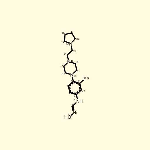 O/N=C/Nc1ccc(N2CCN(CCN3CCCC3)CC2)c(F)c1